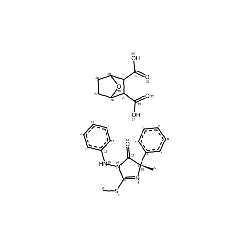 CSC1=N[C@@](C)(c2ccccc2)C(=O)N1Nc1ccccc1.O=C(O)C1C2CCC(O2)C1C(=O)O